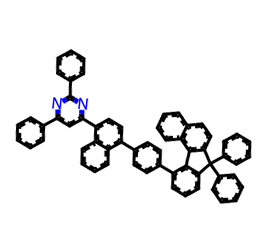 c1ccc(-c2cc(-c3ccc(-c4ccc(-c5cccc6c5-c5c(ccc7ccccc57)C6(c5ccccc5)c5ccccc5)cc4)c4ccccc34)nc(-c3ccccc3)n2)cc1